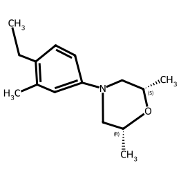 CCc1ccc(N2C[C@@H](C)O[C@@H](C)C2)cc1C